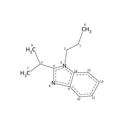 CCCn1c(C(C)C)nc2ccccc21